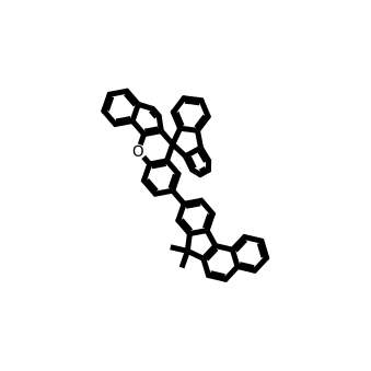 CC1(C)c2cc(-c3ccc4c(c3)C3(c5ccccc5-c5ccccc53)c3ccc5ccccc5c3O4)ccc2-c2c1ccc1ccccc21